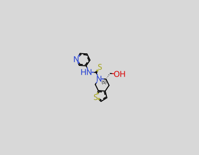 OC[C@@H]1Cc2ccsc2CN1C(=S)Nc1cccnc1